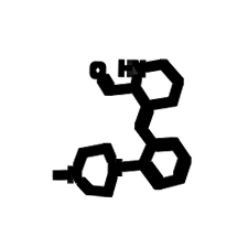 CN1CCN(c2ccccc2C=C2CCCNC2C=O)CC1